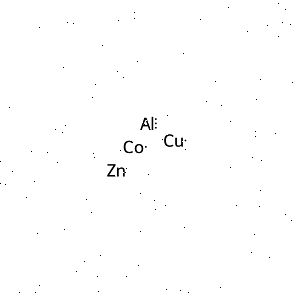 [Al].[Co].[Cu].[Zn]